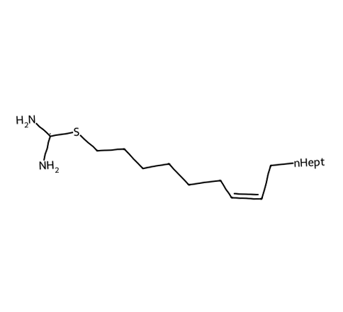 CCCCCCCC/C=C\CCCCCCS[C](N)N